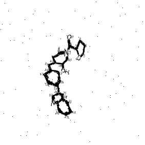 O=C(C1CCCO1)N1CCC(Cc2ccc(-c3cnc4ccccc4c3)cc2)C(O)C1